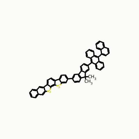 CC1(C)c2ccc(-c3ccc4c(c3)sc3c4ccc4c5cc6ccccc6cc5sc43)cc2-c2ccc(-c3c4ccccc4c(-c4cccc5ccccc45)c4ccccc34)cc21